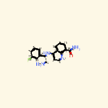 NC[C@@H](Nc1ccnc2c(C(N)=O)cccc12)c1cccc(F)c1